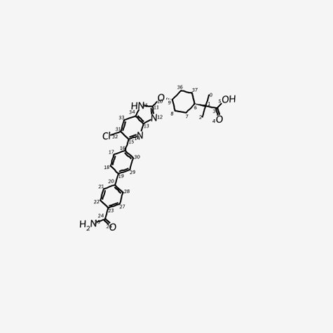 CC(C)(C(=O)O)[C@H]1CC[C@H](Oc2nc3nc(-c4ccc(-c5ccc(C(N)=O)cc5)cc4)c(Cl)cc3[nH]2)CC1